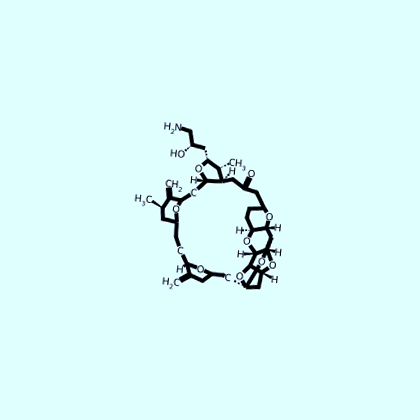 C=C1C2C[C@@H]3O[C@H](C[C@H](O)CN)[C@H](C)[C@H]3CC(=O)CC3CC[C@@H]4O[C@H]5C6O[C@]7(CCC8CC(=C)[C@H](CCC(C[C@H]1C)O2)O8)C[C@H]6O[C@H]5C(O7)[C@H]4O3